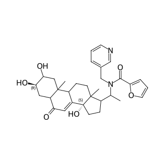 CC(C1CC[C@@]2(O)C3=CC(=O)C4C[C@@H](O)C(O)CC4(C)C3CCC12C)N(Cc1cccnc1)C(=O)c1ccco1